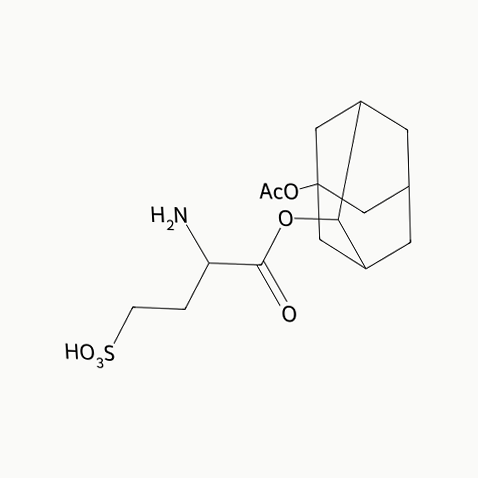 CC(=O)OC12CC3CC(C1)C(OC(=O)C(N)CCS(=O)(=O)O)C(C3)C2